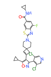 O=C(NC1CC1)c1cc(F)c2nc(N3CCC4(C=C(c5c(-c6c(Cl)cncc6Cl)noc5C5CC5)C4)CC3)sc2c1